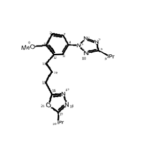 COc1ccc(-n2nnc(C(C)C)n2)cc1CCCc1nnc(C(C)C)o1